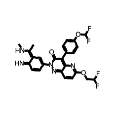 CN/C(C)=C1/C=C(n2nc3ccc(OCC(F)F)nc3c(-c3ccc(OC(F)F)cc3)c2=O)C=CC1=N